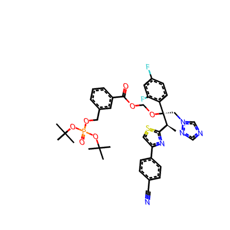 C[C@@H](c1nc(-c2ccc(C#N)cc2)cs1)[C@@](Cn1cncn1)(OCOC(=O)c1cccc(COP(=O)(OC(C)(C)C)OC(C)(C)C)c1)c1ccc(F)cc1F